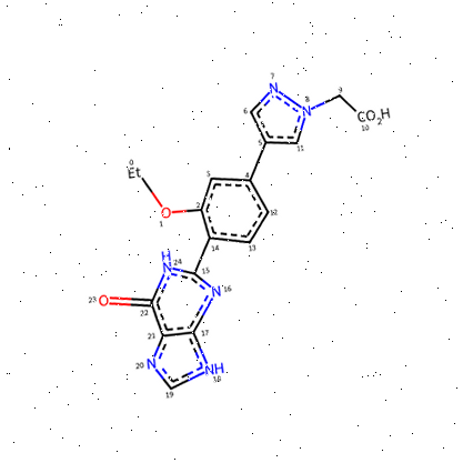 CCOc1cc(-c2cnn(CC(=O)O)c2)ccc1-c1nc2[nH]cnc2c(=O)[nH]1